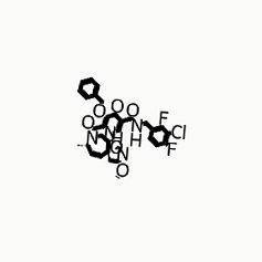 COC1=NO[C@@]2(C=C[C@H](C)N3C[C@H]2n2cc(C(=O)NCc4ccc(F)c(Cl)c4F)c(=O)c(OCc4ccccc4)c2C3=O)C1